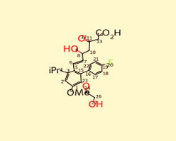 COc1cc(C(C)C)c(C=CC(O)CC(=O)CC(=O)O)c(-c2ccc(F)cc2)c1OCCO